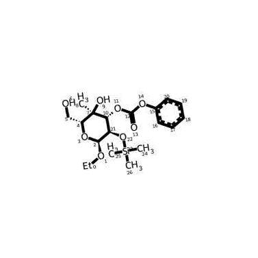 CCO[C@H]1O[C@H](CO)[C@@](C)(O)[C@H](OC(=O)Oc2ccccc2)[C@H]1O[Si](C)(C)C